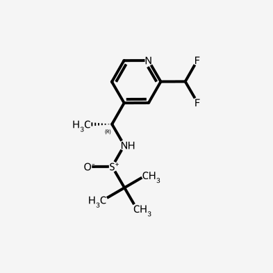 C[C@@H](N[S+]([O-])C(C)(C)C)c1ccnc(C(F)F)c1